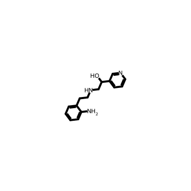 Nc1ccccc1CCNCC(O)c1cccnc1